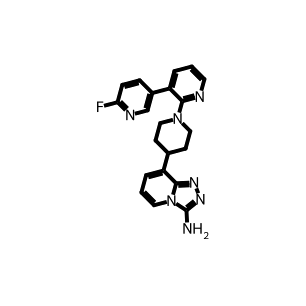 Nc1nnc2c(C3CCN(c4ncccc4-c4ccc(F)nc4)CC3)cccn12